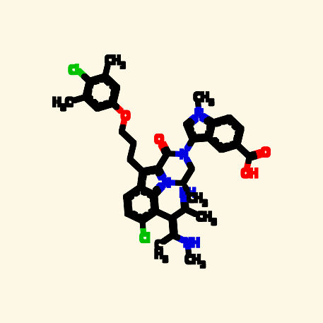 CN/C(C)=C(\C(C)=N)c1c(Cl)ccc2c(CCCOc3cc(C)c(Cl)c(C)c3)c3n(c12)[C@H](C)CN(c1cn(C)c2ccc(C(=O)O)cc12)C3=O